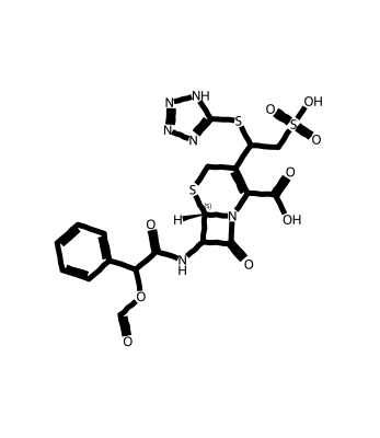 O=COC(C(=O)NC1C(=O)N2C(C(=O)O)=C(C(CS(=O)(=O)O)Sc3nnn[nH]3)CS[C@@H]12)c1ccccc1